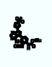 COc1cc(-c2cc(C3=CCN(S(C)(=O)=O)C3)n3ncnc(N)c23)ccc1NC(=O)OC(C)(C)C